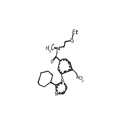 CCOCCN(C)C(=O)c1ccc([N+](=O)[O-])c(-n2ccnc2C2CCCCC2)c1